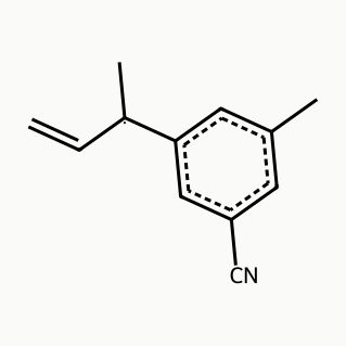 C=C[C](C)c1cc(C)cc(C#N)c1